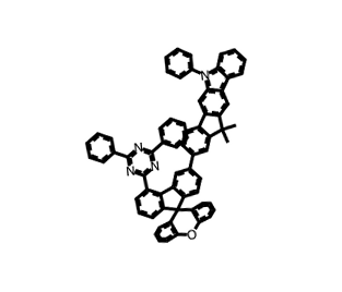 CC1(C)c2cc(-c3ccc4c(c3)-c3c(-c5nc(-c6ccccc6)nc(-c6ccccc6)n5)cccc3C43c4ccccc4Oc4ccccc43)ccc2-c2cc3c(cc21)c1ccccc1n3-c1ccccc1